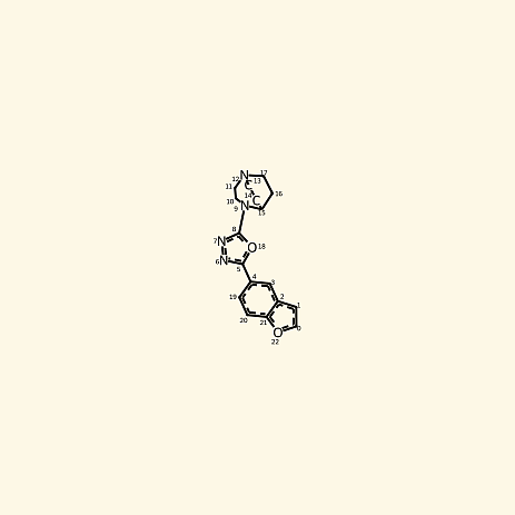 c1cc2cc(-c3nnc(N4CCN5CCC4CC5)o3)ccc2o1